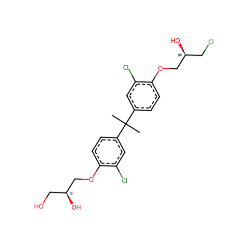 CC(C)(c1ccc(OC[C@@H](O)CO)c(Cl)c1)c1ccc(OC[C@@H](O)CCl)c(Cl)c1